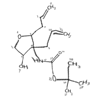 C=CCC1OCC(O)C1(CC=C)NC(=O)OC(C)(C)C